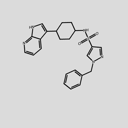 O=S(=O)(NC1CCC(c2c[nH]c3ncccc23)CC1)c1cnn(Cc2ccccc2)c1